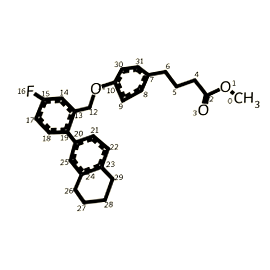 COC(=O)CCCc1ccc(OCc2cc(F)ccc2-c2ccc3c(c2)CCCC3)cc1